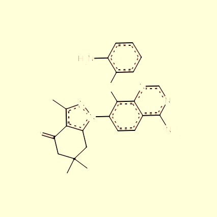 Cc1nn(-c2ccc3c(N)ncnc3c2Sc2ccccc2N)c2c1C(=O)CC(C)(C)C2